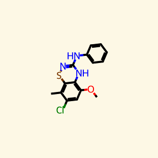 COc1cc(Cl)c(C)c2c1NC(Nc1ccccc1)=NS2